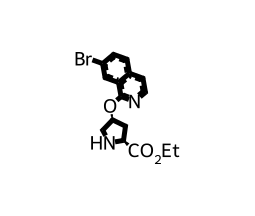 CCOC(=O)[C@@H]1C[C@@H](Oc2nccc3ccc(Br)cc23)CN1